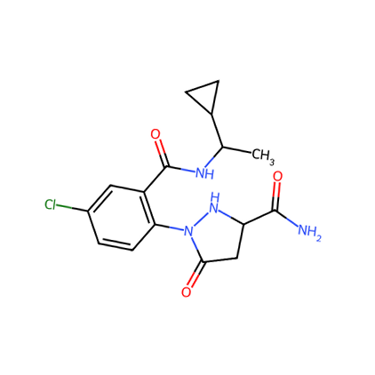 CC(NC(=O)c1cc(Cl)ccc1N1NC(C(N)=O)CC1=O)C1CC1